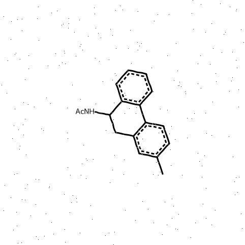 CC(=O)NC1Cc2cc(C)ccc2-c2ccccc21